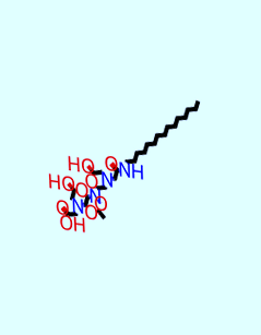 CCCCCCCCCCCCCCCNC(=O)CN(CCN(CCN(CC(=O)O)CC(=O)O)OC(C)=O)CC(=O)O